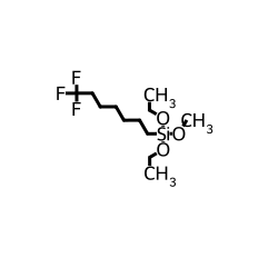 CCO[Si](CCCCCCC(F)(F)F)(OC)OCC